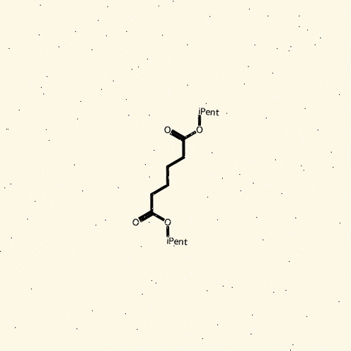 CCCC(C)OC(=O)CCCCC(=O)OC(C)CCC